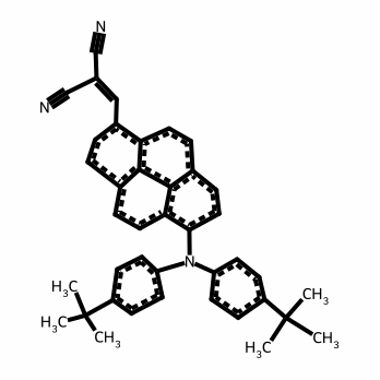 CC(C)(C)c1ccc(N(c2ccc(C(C)(C)C)cc2)c2ccc3ccc4c(C=C(C#N)C#N)ccc5ccc2c3c54)cc1